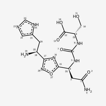 NC(=O)C[C@H](NC(=O)N[C@@H](CO)C(=O)O)c1nc([C@@H](N)Cc2cnc[nH]2)no1